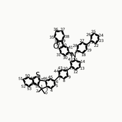 CC1(C)c2ccc(-c3ccc(-c4cccc(N(c5ccc(-c6ccccc6)cc5)c5ccc6oc7ccccc7c6c5)c4)cc3)cc2-c2sc3ccccc3c21